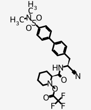 CN(C)S(=O)(=O)c1ccc(-c2ccc(C[C@@H](C#N)NC(=O)[C@@H]3CCCCN3OC(=O)C(F)(F)F)cc2)cc1